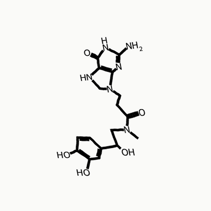 CN(CC(O)c1ccc(O)c(O)c1)C(=O)CCN1CNc2c1nc(N)[nH]c2=O